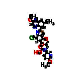 COc1ccc(N(CC2COc3c(cc(Cl)c4nc(-c5cc(C)cc6nc(OC)cnc56)sc34)O2)C(=O)O)cn1